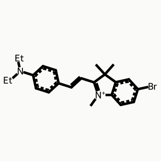 CCN(CC)c1ccc(/C=C/C2=[N+](C)c3ccc(Br)cc3C2(C)C)cc1